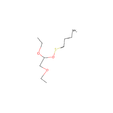 CCOCC(OCC)OSCCC[SiH3]